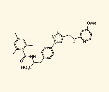 COc1ccnc(NCc2cn(-c3ccc(CC(NC(=O)c4c(C)cc(C)cc4C)C(=O)O)cc3)nn2)c1